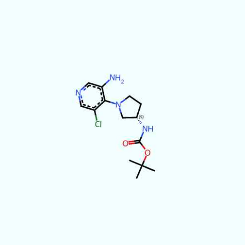 CC(C)(C)OC(=O)N[C@H]1CCN(c2c(N)cncc2Cl)C1